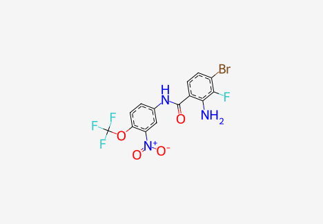 Nc1c(C(=O)Nc2ccc(OC(F)(F)F)c([N+](=O)[O-])c2)ccc(Br)c1F